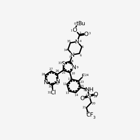 CC(C)(C)OC(=O)N1CCN(c2nc(-c3cccc(NS(=O)(=O)CCC(F)(F)F)c3F)c(-c3ccnc(Cl)n3)s2)CC1